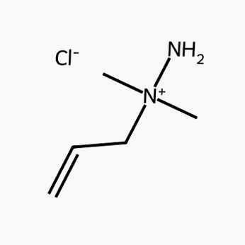 C=CC[N+](C)(C)N.[Cl-]